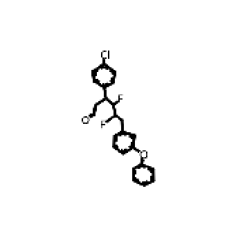 O=CCC(c1ccc(Cl)cc1)C(F)C(F)Cc1cccc(Oc2ccccc2)c1